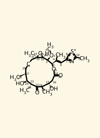 COC1[C@@H](/C(C)=C/c2csc(C)n2)OC(=O)C[C@H](O)C(C)C(=O)[C@H](C)[C@@H](O)[C@@H](C)CCC[C@@]2(C)O[C@@H]12